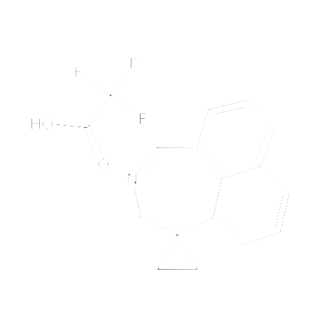 C1=NCC2(CC2)c2cccc3cccc1c23.O=C(O)C(F)(F)F